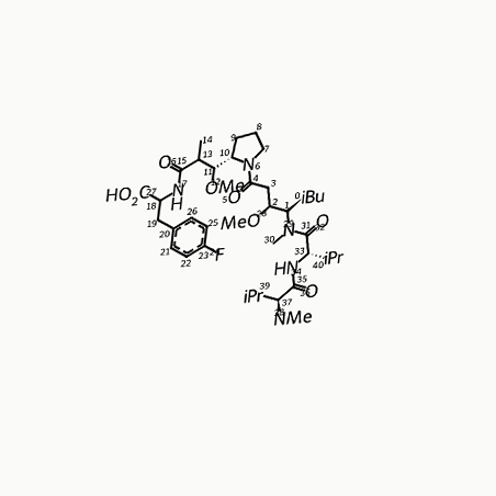 CC[C@H](C)C(C(CC(=O)N1CCC[C@H]1C(OC)C(C)C(=O)NC(Cc1ccc(F)cc1)C(=O)O)OC)N(C)C(=O)[C@@H](NC(=O)[C@@H](NC)C(C)C)C(C)C